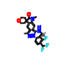 Cc1nnc(N[C@H](C)c2cccc(C(F)F)c2F)c2cc3c(cc12)C1(CCOCC1)C(=O)N3C